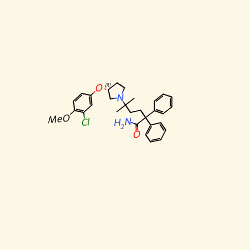 COc1ccc(O[C@@H]2CCN(C(C)(C)CCC(C(N)=O)(c3ccccc3)c3ccccc3)C2)cc1Cl